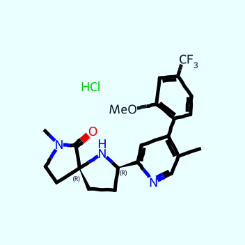 COc1cc(C(F)(F)F)ccc1-c1cc([C@H]2CC[C@]3(CCN(C)C3=O)N2)ncc1C.Cl